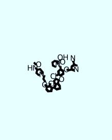 CC(=O)NC1CCN(CCCOc2cccc(-c3cccc4c3CCC4Oc3cc(OCc4cncc(C#N)c4)c(CN4CCCC[C@H]4C(=O)O)cc3Cl)c2Cl)CC1